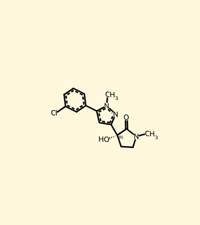 CN1CC[C@@](O)(c2cc(-c3cccc(Cl)c3)n(C)n2)C1=O